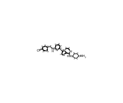 N[C@H]1CC[C@H](Nc2nccn3c(-c4cccc(NCc5ccc(Cl)cc5)n4)cnc23)CC1